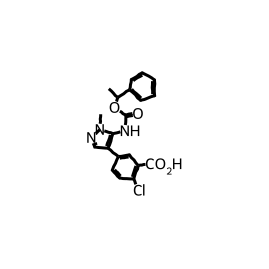 CC(OC(=O)Nc1c(-c2ccc(Cl)c(C(=O)O)c2)cnn1C)c1ccccc1